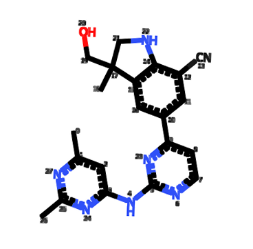 Cc1cc(Nc2nccc(-c3cc(C#N)c4c(c3)C(C)(CO)CN4)n2)nc(C)n1